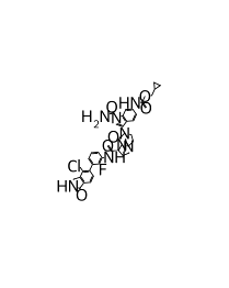 NC(=O)n1cc(N2CCN3CC[C@@H](C(=O)Nc4cccc(-c5ccc6c(c5Cl)CNC6=O)c4F)N3C2=O)c2ccc(NC(=O)OCC3CC3)cc21